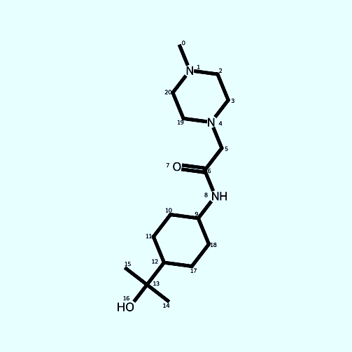 CN1CCN(CC(=O)NC2CCC(C(C)(C)O)CC2)CC1